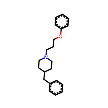 c1ccc(CC2CCN(CCCOc3ccccc3)CC2)cc1